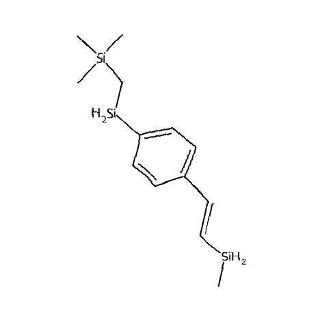 C[SiH2]C=Cc1ccc([SiH2]C[Si](C)(C)C)cc1